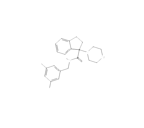 CN(Cc1cc(Br)cc(Br)c1)C(=O)C1(N2CCNCC2)CCc2ccccc21